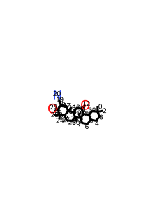 CC1(C)CCC2CCC3(C)C(C(=O)CC4C5(C)C=C(C#N)C(=O)C(C)(C)C5CCC43C)C2C1